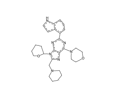 [CH]1CCN(Cc2nc3c(N4CCOCC4)nc(-c4cccc5[nH]ccc45)nc3n2C2CCCCO2)CC1